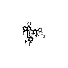 Cc1c(Oc2nc(C(F)(F)F)c(Cl)cc2-c2cc(=O)c3cccc(F)c3[nH]2)ccc(F)c1F